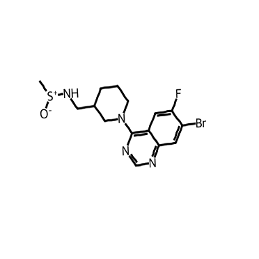 C[S+]([O-])NCC1CCCN(c2ncnc3cc(Br)c(F)cc23)C1